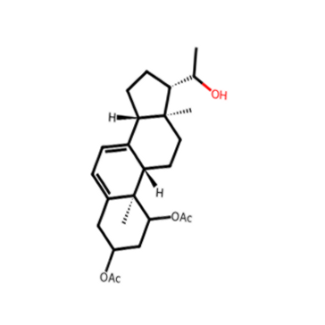 CC(=O)OC1CC2=CC=C3[C@@H]4CC[C@H](C(C)O)[C@@]4(C)CC[C@@H]3[C@@]2(C)C(OC(C)=O)C1